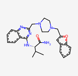 CC(C)[C@H](Nc1nc(CN2CCN(Cc3cc4ccccc4o3)CC2)nc2ccccc12)C(N)=O